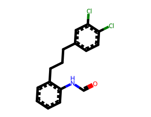 O=CNc1ccccc1CCCc1ccc(Cl)c(Cl)c1